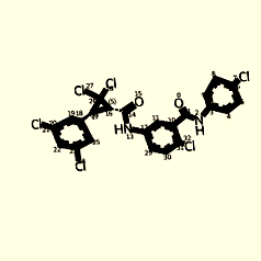 O=C(Nc1ccc(Cl)cc1)c1cc(NC(=O)[C@@H]2[C@@H](c3cc(Cl)cc(Cl)c3)C2(Cl)Cl)ccc1Cl